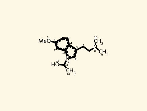 COc1ccc2c(CCN(C)C)cn(C(C)O)c2c1